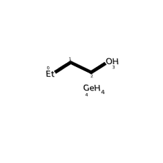 CCCCO.[GeH4]